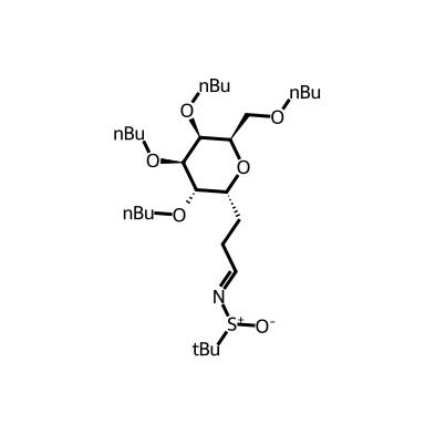 CCCCOC[C@H]1O[C@H](CC/C=N/[S+]([O-])C(C)(C)C)[C@H](OCCCC)[C@@H](OCCCC)[C@H]1OCCCC